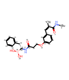 CC(C)(C)NC(=O)C(C#N)=Cc1cccc(OCCC(=O)N[C@@H](Cc2ccccc2)B(O)O)c1